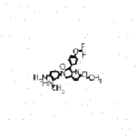 CCOc1ccc2cn(-c3ccc(N)c(NC)c3)c(=O)c(-c3ccc(OC(F)F)cc3)c2n1